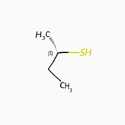 CC[C@H](C)S